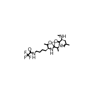 CN[C@@H](CC(C)C)C(=O)NC(C)C(=O)N[C@@H](CCCCNC(=O)C(F)(F)F)C(C)=O